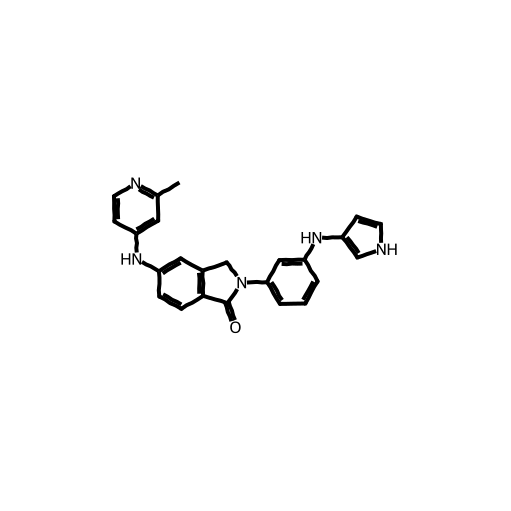 Cc1cc(Nc2ccc3c(c2)CN(c2cccc(Nc4cc[nH]c4)c2)C3=O)ccn1